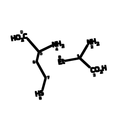 CCC(N)C(=O)O.NC(CCS)C(=O)O